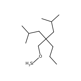 CCCC(CO[SiH3])(CC(C)C)CC(C)C